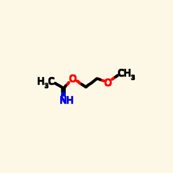 COCCOC(C)=N